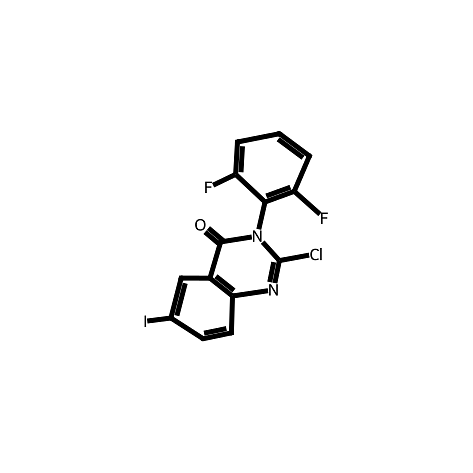 O=c1c2cc(I)ccc2nc(Cl)n1-c1c(F)cccc1F